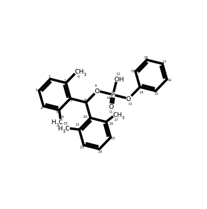 Cc1cccc(C)c1C(OP(=O)(O)Oc1ccccc1)c1c(C)cccc1C